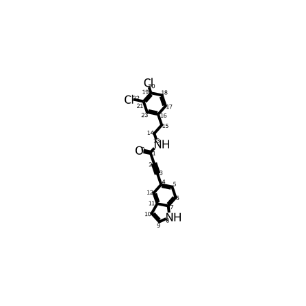 O=C(C#Cc1ccc2[nH]ccc2c1)NCCc1ccc(Cl)c(Cl)c1